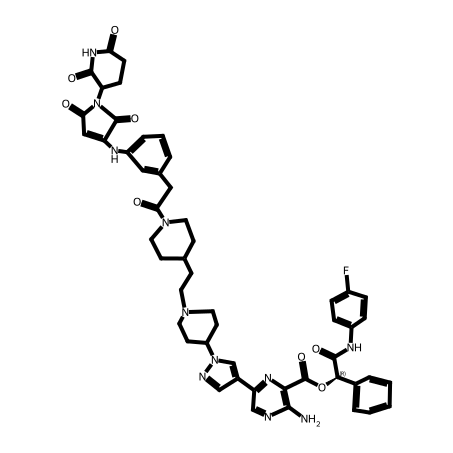 Nc1ncc(-c2cnn(C3CCN(CCC4CCN(C(=O)Cc5cccc(NC6=CC(=O)N(C7CCC(=O)NC7=O)C6=O)c5)CC4)CC3)c2)nc1C(=O)O[C@@H](C(=O)Nc1ccc(F)cc1)c1ccccc1